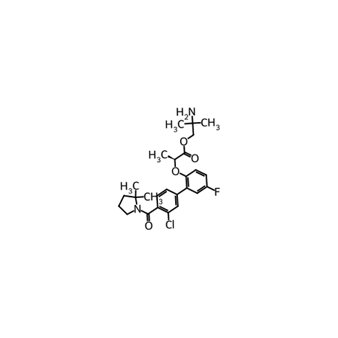 C[C@H](Oc1ccc(F)cc1-c1ccc(C(=O)N2CCCC2(C)C)c(Cl)c1)C(=O)OCC(C)(C)N